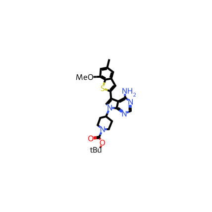 COc1cc(C)cc2cc(-c3cn(C4CCN(C(=O)OC(C)(C)C)CC4)c4ncnc(N)c34)sc12